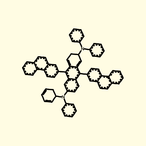 C1=CCC(N(c2ccccc2)c2ccc3c(-c4ccc5c(ccc6ccccc65)c4)c4c(c(-c5ccc6c(ccc7ccccc76)c5)c3c2)=CCC(N(c2ccccc2)c2ccccc2)C=4)C=C1